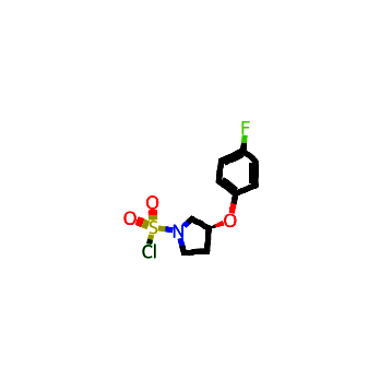 O=S(=O)(Cl)N1CC[C@H](Oc2ccc(F)cc2)C1